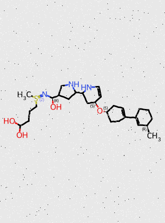 C[C@H]1C=C(C2=CC[C@@H](O[C@@H]3C=CNC(C4CC([C@@H](O)/N=S(/C)CCCC(O)O)CN4)C3)CC2)CCC1